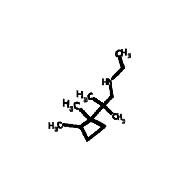 CCNCC(C)(C)C1(C)CCC1C